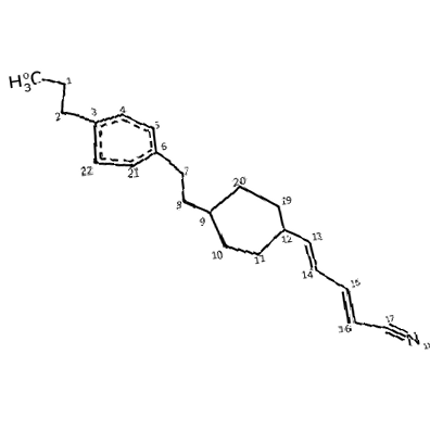 CCCc1ccc(CCC2CCC(C=CC=CC#N)CC2)cc1